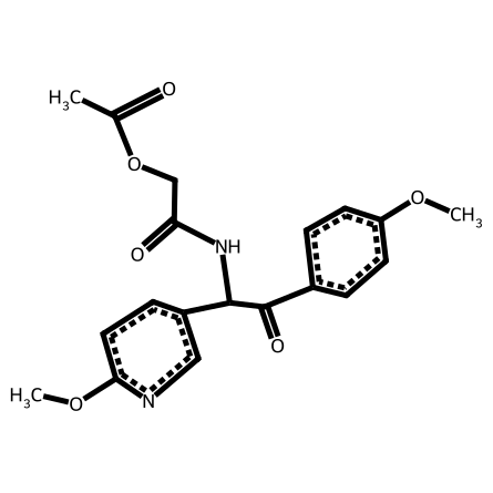 COc1ccc(C(=O)C(NC(=O)COC(C)=O)c2ccc(OC)nc2)cc1